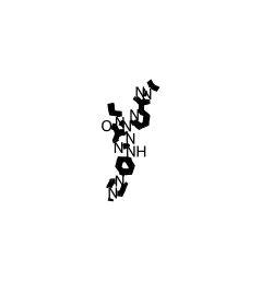 C=CCn1c(=O)c2cnc(Nc3ccc(N4CCN(C)CC4)cc3)nc2n1-c1cccc(-c2cnn(C(C)C)c2)n1